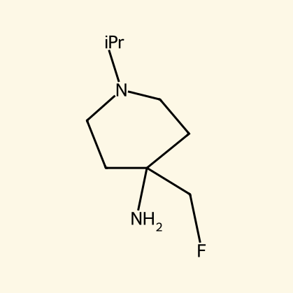 CC(C)N1CCC(N)(CF)CC1